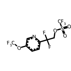 O=S(=O)(OCC(F)(F)c1ccc(OC(F)(F)F)cn1)C(F)(F)F